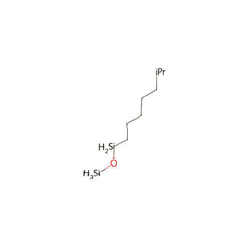 CC(C)CCCCC[SiH2]O[SiH3]